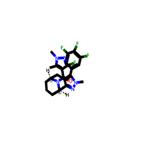 Cc1c(C(=O)N2[C@H]3CCC[C@@H]2c2nn(C)c(-c4cc(F)c(F)c(F)c4)c2C3)c(F)nn1C